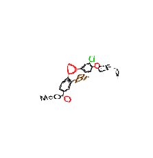 COC(=O)c1ccc(Oc2ccc(OC(F)(F)F)c(Cl)c2)c(Br)c1